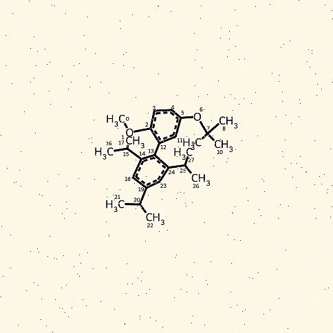 COc1ccc(OC(C)(C)C)cc1-c1c(C(C)C)cc(C(C)C)cc1C(C)C